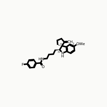 C=C1CCC[C@@]12c1cc(OC)ccc1N[C@H]2CCCCNC(=O)c1ccc(F)cc1